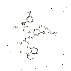 COC[C@H]1COc2cc3c(cc2O1)C[C@H](C[C@@H](C)COc1ccnc2c1[C@H](C)CCC2)C31CCC(Nc2cccc(Cl)c2)(C(=O)O)CC1